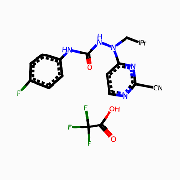 CC(C)CN(NC(=O)Nc1ccc(F)cc1)c1ccnc(C#N)n1.O=C(O)C(F)(F)F